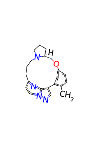 Cc1ccc2cc1-c1cnn3ccc(nc13)CCCN1CCC[C@H]1CO2